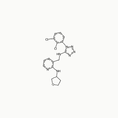 Clc1cccc(-n2nnnc2NCc2cccnc2NC2CCOC2)c1Cl